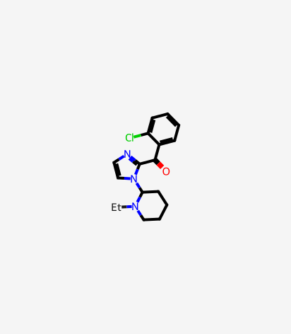 CCN1CCCCC1n1ccnc1C(=O)c1ccccc1Cl